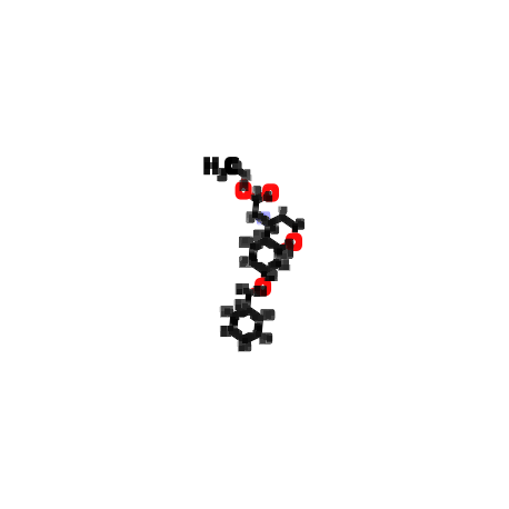 CCOC(=O)/C=C1\CCOc2cc(OCc3ccccc3)ccc21